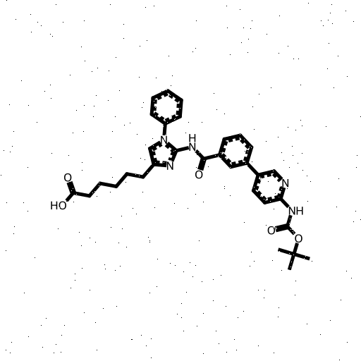 CC(C)(C)OC(=O)Nc1ccc(-c2cccc(C(=O)Nc3nc(CCCCCC(=O)O)cn3-c3ccccc3)c2)cn1